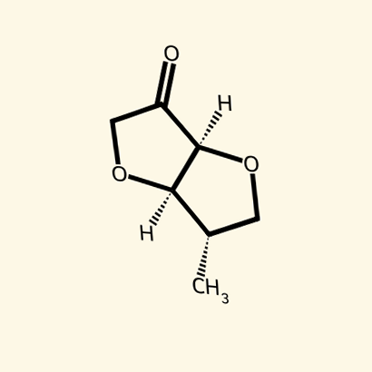 C[C@H]1CO[C@@H]2C(=O)CO[C@@H]21